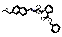 CN(C)Cc1ccc2cc(/C=C/C(=O)Nc3ccccc3C(=O)OCc3ccccc3)ccc2c1